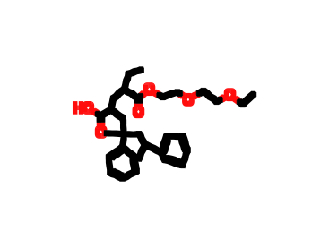 CCOCCOCCOC(=O)C(CC)CC(CC(C)(CC(C)c1ccccc1)c1ccccc1)C(=O)O